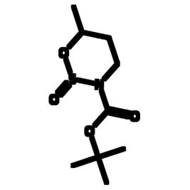 CC1CCN(C(=O)OC(C)(C)C)S(=O)O1